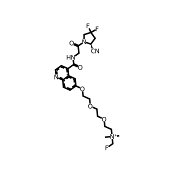 C[N+](C)(CF)CCOCCOCCOc1ccc2nccc(C(=O)NCC(=O)N3CC(F)(F)C[C@H]3C#N)c2c1